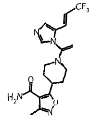 C=C(N1CCC(c2onc(C)c2C(N)=O)CC1)n1cncc1/C=C/C(F)(F)F